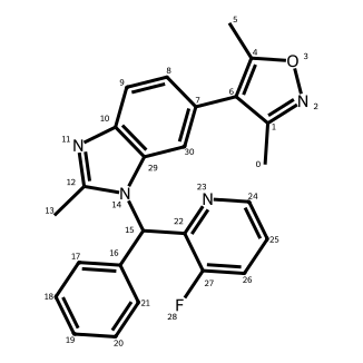 Cc1noc(C)c1-c1ccc2nc(C)n(C(c3ccccc3)c3ncccc3F)c2c1